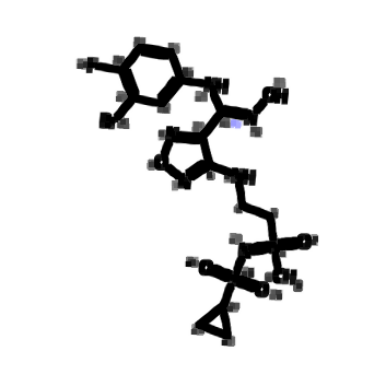 CS(=O)(CCNc1nonc1/C(=N/O)Nc1ccc(F)c(Br)c1)=NS(=O)(=O)C1CC1